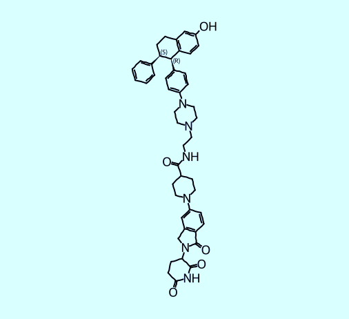 O=C1CCC(N2Cc3cc(N4CCC(C(=O)NCCN5CCN(c6ccc([C@@H]7c8ccc(O)cc8CC[C@@H]7c7ccccc7)cc6)CC5)CC4)ccc3C2=O)C(=O)N1